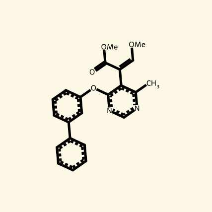 CO/C=C(\C(=O)OC)c1c(C)ncnc1Oc1cccc(-c2ccccc2)c1